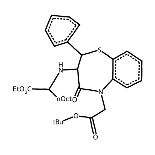 CCCCCCCCC(NC1C(=O)N(CC(=O)OC(C)(C)C)c2ccccc2SC1c1ccccc1)C(=O)OCC